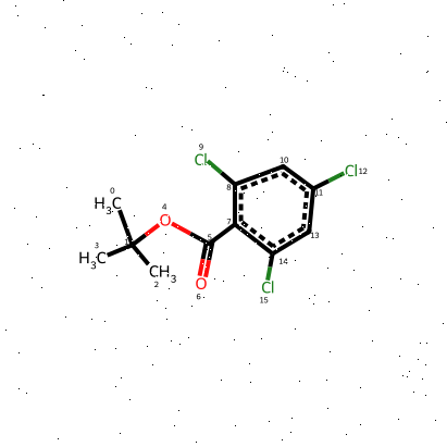 CC(C)(C)OC(=O)c1c(Cl)cc(Cl)cc1Cl